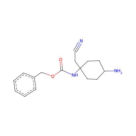 N#CCC1(NC(=O)OCc2ccccc2)CCC(N)CC1